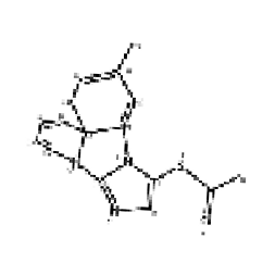 CC(=O)Sc1cnc2n1C1=CC(C)=CCC13C=CC=CN23